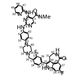 CNC(=O)c1cnc(Nc2ccc(N3CCN(Cc4ccc(-c5[nH]c6cc(F)cc7c6c5CCNC7=O)cc4F)CC3)cc2)nc1Nc1ccccn1